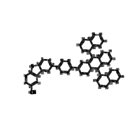 N#Cc1ccc2sc3ccc(-c4ccc(-c5ccc6c(-c7cccc8ccccc78)c7ccccc7c(-c7cccc8ccccc78)c6c5)cc4)cc3c2c1